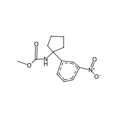 COC(=O)NC1(c2cccc([N+](=O)[O-])c2)CCCC1